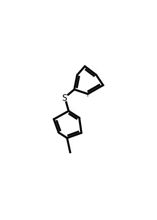 Cc1ccc(Sc2[c]cccc2)cc1